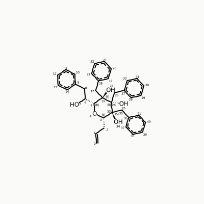 C=CC[C@@H]1O[C@H](C(O)Cc2ccccc2)[C@](O)(Cc2ccccc2)[C@@](O)(Cc2ccccc2)[C@]1(O)Cc1ccccc1